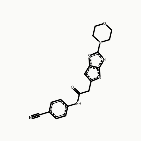 N#Cc1ccc(NC(=O)Cc2cc3sc(N4CCOCC4)nc3s2)cc1